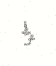 CC(=O)O[C@@H](C)C=CC(=O)N[C@@H]1C[C@H](C)[C@H](CC=C(C)C=C[C@H]2O[C@H](CC(=O)N3CCNCC3)C[C@@]3(CO3)[C@@H]2O)O[C@@H]1C